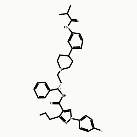 CCCc1nn(-c2ccc(Cl)cc2)cc1C(=O)N[C@@H](CCN1CCC(c2cccc(NC(=O)C(C)C)c2)CC1)c1ccccc1